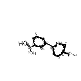 OB(O)c1cccc(-c2ccc(F)cn2)c1